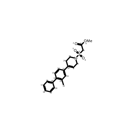 COC(=O)CS(=O)(=O)N1CC=C(c2ccc(-c3ccccc3)c(C)c2)CC1